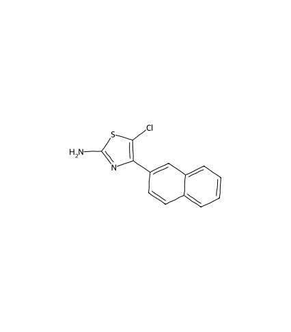 Nc1nc(-c2ccc3ccccc3c2)c(Cl)s1